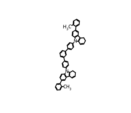 Cc1ccccc1-c1ccc2c(c1)c1c(n2-c2ccc(-c3cccc(-c4ccc(-n5c6c(c7cc(-c8ccccc8C)ccc75)C=CCC6)cc4)c3)cc2)C=CCC1